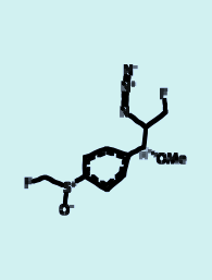 CO[C@H](c1ccc([S+]([O-])CF)cc1)C(CF)N=[N+]=[N-]